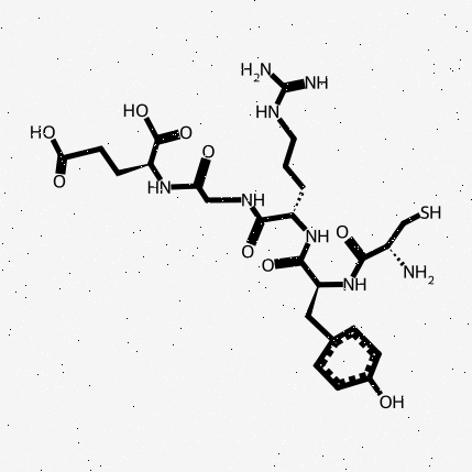 N=C(N)NCCC[C@H](NC(=O)[C@H](Cc1ccc(O)cc1)NC(=O)[C@@H](N)CS)C(=O)NCC(=O)N[C@@H](CCC(=O)O)C(=O)O